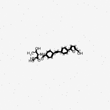 C[C@@H](O)[C@H](NC(=O)c1ccc(C#Cc2ccc(-c3ccc(CO)o3)cc2)cc1)C(=O)NO